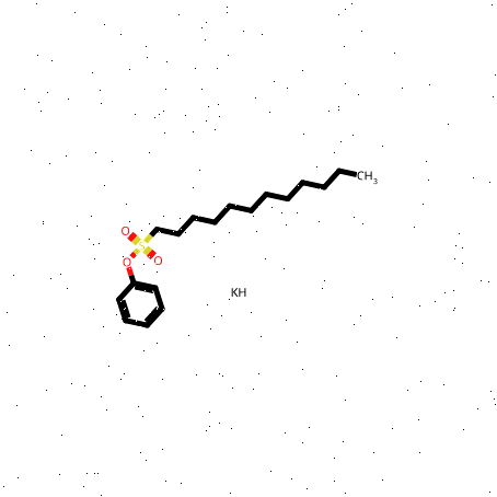 CCCCCCCCCCCCS(=O)(=O)Oc1ccccc1.[KH]